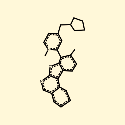 Cc1ccc2c(oc3ncc4ccccc4c32)c1-c1cc(CC2CCCC2)cc[n+]1C